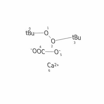 CC(C)(C)OOC(C)(C)C.O=C([O-])[O-].[Ca+2]